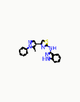 Cc1c(-c2csc(Nc3n[nH]c4ccccc34)n2)cnn1-c1ccccc1